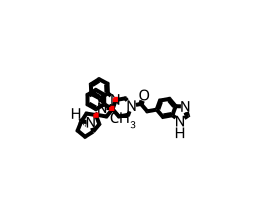 Cc1nc2ccccc2n1C1CC2CC[C@H](C1)N2CCC1(c2ccccc2)CCN(C(=O)Cc2ccc3nc[nH]c3c2)CC1